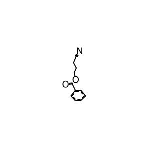 N#CCCCOC(=O)c1ccccc1